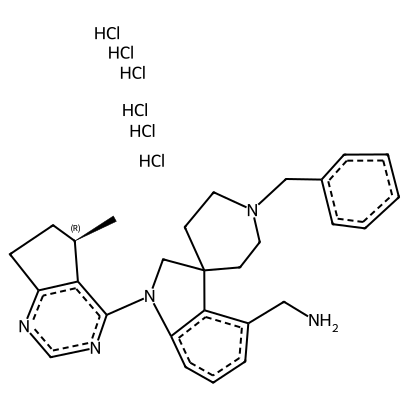 C[C@@H]1CCc2ncnc(N3CC4(CCN(Cc5ccccc5)CC4)c4c(CN)cccc43)c21.Cl.Cl.Cl.Cl.Cl.Cl